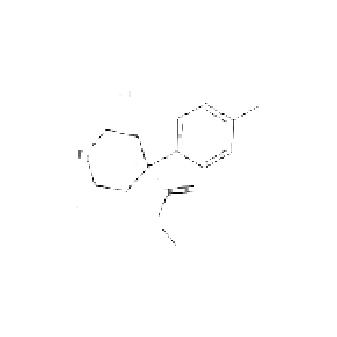 COC(=O)[C@@]1(c2ccc(F)cc2)CCN[C@@H](C)C1.Cl